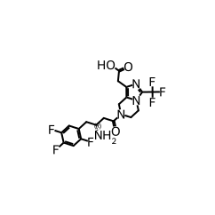 N[C@@H](CC(=O)N1CCn2c(C(F)(F)F)nc(CC(=O)O)c2C1)Cc1cc(F)c(F)cc1F